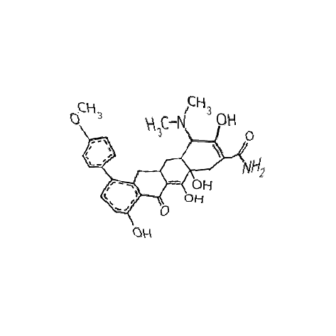 COc1ccc(-c2ccc(O)c3c2CC2CC4C(N(C)C)C(O)=C(C(N)=O)CC4(O)C(O)=C2C3=O)cc1